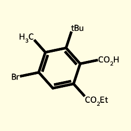 CCOC(=O)c1cc(Br)c(C)c(C(C)(C)C)c1C(=O)O